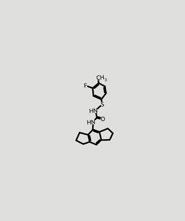 Cc1ccc(SNC(=O)Nc2c3c(cc4c2CCC4)CCC3)cc1F